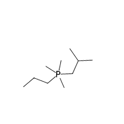 CCCP(C)(C)(C)CC(C)C